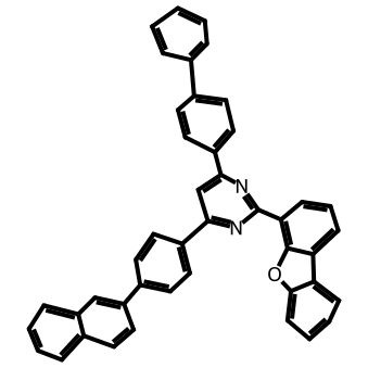 c1ccc(-c2ccc(-c3cc(-c4ccc(-c5ccc6ccccc6c5)cc4)nc(-c4cccc5c4oc4ccccc45)n3)cc2)cc1